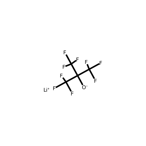 [Li+].[O-]C(C(F)(F)F)(C(F)(F)F)C(F)(F)F